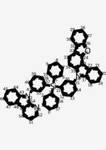 c1ccc([Si](c2ccccc2)(c2cccc(-n3c4ccccc4c4c5oc6ccccc6c5ccc43)c2)c2cccc(-n3c4ccccc4c4cccnc43)c2)cc1